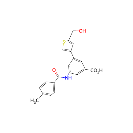 Cc1ccc(C(=O)Nc2cc(C(=O)O)cc(-c3csc(CO)c3)c2)cc1